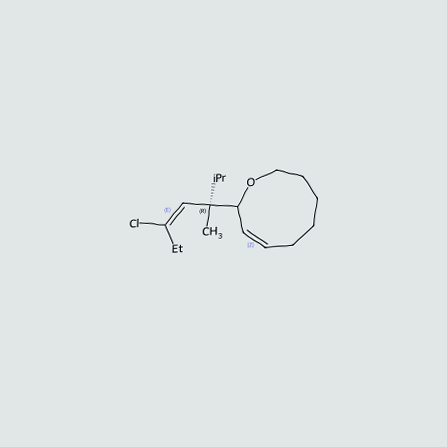 CC/C(Cl)=C\[C@@](C)(C(C)C)C1/C=C\CCCCCO1